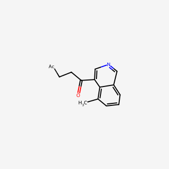 CC(=O)CCC(=O)c1cncc2cccc(C)c12